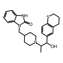 CC(C(O)c1ccc2c(c1)CCCS2)N1CCC(Cn2c(=O)[nH]c3ccccc32)CC1